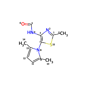 Cc1nc(NC=O)c(-n2c(C)ccc2C)s1